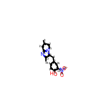 Cc1ccn2c(Cc3ccc(O)c([N+](=O)[O-])c3)c(C)nc2c1